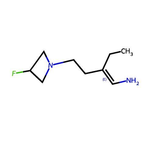 CC/C(=C\N)CCN1CC(F)C1